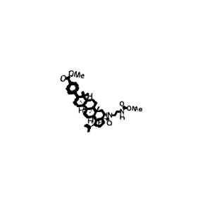 C=C(C)[C@@H]1CC[C@]2(C(=O)NCCNC(=O)OC)CC[C@]3(C)[C@H](CC[C@@H]4[C@@]5(C)CC=C(c6ccc(C(=O)OC)cc6)C(C)(C)[C@@H]5CC[C@]43C)[C@@H]12